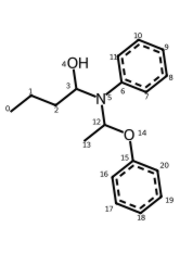 CCCC(O)N(c1ccccc1)C(C)Oc1ccccc1